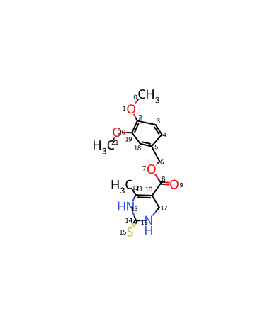 COc1ccc(COC(=O)C2=C(C)NC(=S)NC2)cc1OC